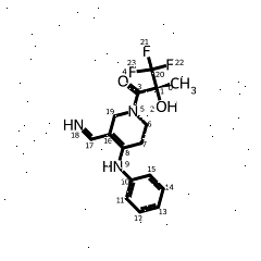 C[C@@](O)(C(=O)N1CCC(Nc2ccccc2)=C(C=N)C1)C(F)(F)F